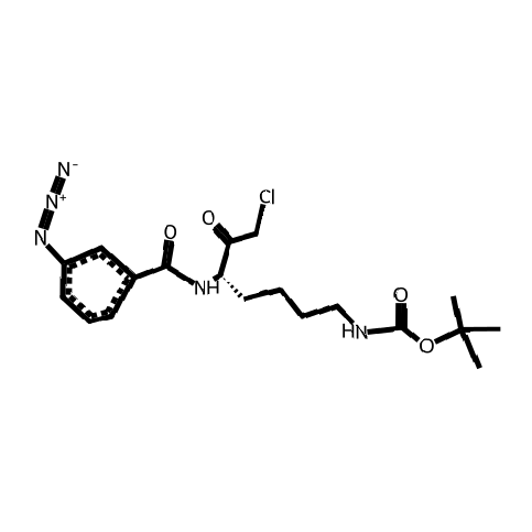 CC(C)(C)OC(=O)NCCCC[C@H](NC(=O)c1cccc(N=[N+]=[N-])c1)C(=O)CCl